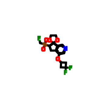 O=S(=O)(CF)C1Cc2c(OC3CC(F)(F)C3)cncc2C12OCCO2